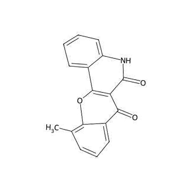 Cc1cccc2c(=O)c3c(=O)[nH]c4ccccc4c3oc12